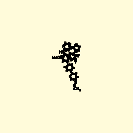 C=CCN1CCN(C2CCN(c3ccc(Nc4cc(N5OCC[C@@H]5c5cccc(F)c5F)ncn4)c(OC)c3)CC2)CC1